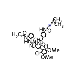 C=CC(=O)Nc1cccc(C)c1Nc1ncc2cc(-c3c(Cl)c(OC)cc(OC)c3Cl)c(=O)n(CCc3ccc(NC(=O)/C=C/CN(C)C)cc3)c2n1